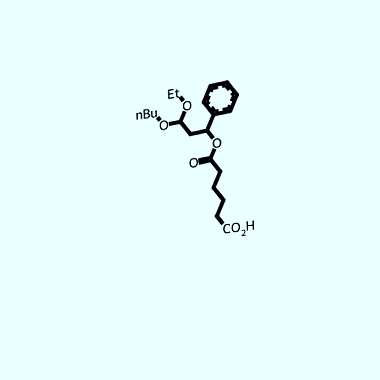 CCCCOC(CC(OC(=O)CCCCC(=O)O)c1ccccc1)OCC